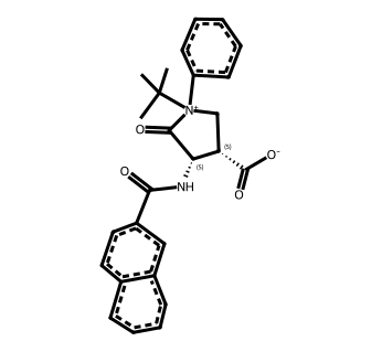 CC(C)(C)[N+]1(c2ccccc2)C[C@H](C(=O)[O-])[C@H](NC(=O)c2ccc3ccccc3c2)C1=O